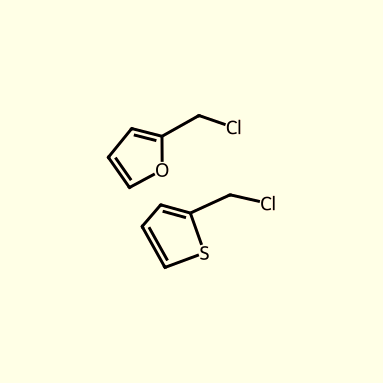 ClCc1ccco1.ClCc1cccs1